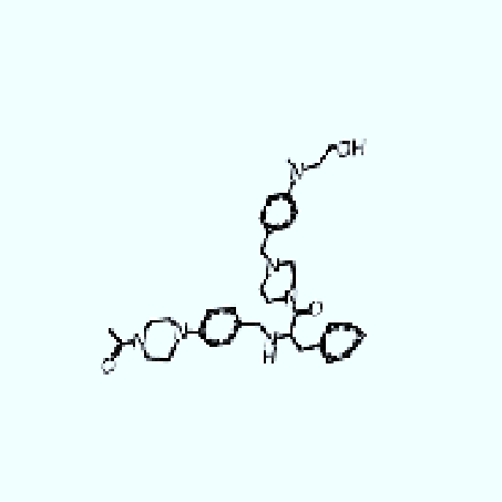 CC(=O)N1CCN(c2ccc(CNC(Cc3ccccc3)C(=O)N3CCN(Cc4ccc(N(C)CCO)cc4)CC3)cc2)CC1